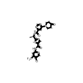 C[C@@H](NC(=O)c1cc(N2CCC(=O)CC2)ncn1)c1ncc(C(=O)Nc2cc(C(F)(F)F)c(Cl)cn2)s1